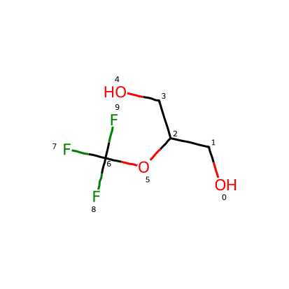 OCC(CO)OC(F)(F)F